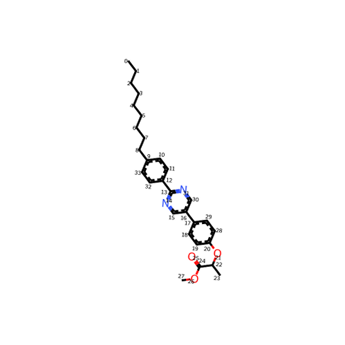 CCCCCCCCCc1ccc(-c2ncc(-c3ccc(OC(C)C(=O)OC)cc3)cn2)cc1